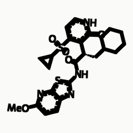 COc1ccc2nc(NC(=O)[C@@H](CC3CCCCC3)c3c(S(=O)(=O)C4CC4)cc[nH]c3=O)sc2n1